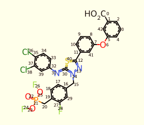 O=C(O)c1cccc(Oc2cccc(-c3nn(Cc4ccc(CP(=O)(OF)OF)c(F)c4)c(=Nc4ccc(Cl)c(Cl)c4)s3)c2)c1